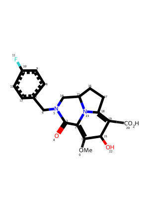 COC1=C2C(=O)N(Cc3ccc(F)cc3)CC3CCC(=C(C(=O)O)C1O)N23